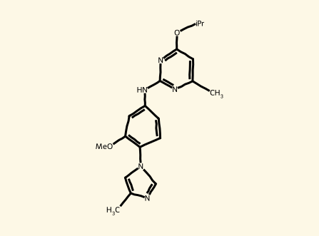 COc1cc(Nc2nc(C)cc(OC(C)C)n2)ccc1-n1cnc(C)c1